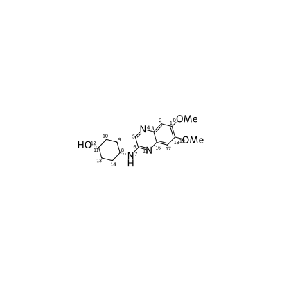 COc1cc2ncc(N[C@H]3CC[C@@H](O)CC3)nc2cc1OC